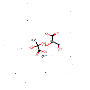 CC(O)(O)C(=O)[O-].O=C([O-])C(O)CO.[Zn+2]